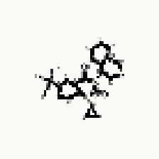 O=c1c2cc(C(F)(F)F)ccc2n(C2CC2)c(=O)n1-c1cncc2ccccc12